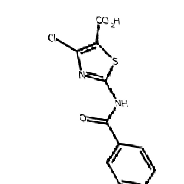 O=C(Nc1nc(Cl)c(C(=O)O)s1)c1ccccc1